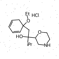 CCOC1(CC(O)(C(C)C)C2CNCCO2)C=CC=CC1.Cl